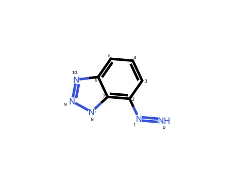 N=Nc1cccc2c1[N]N=N2